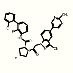 Cc1ncc(-c2ccc3c(c2)c(C#N)nn3CC(=O)N2C[C@H](F)C[C@H]2C(=O)Nc2cccc(-c3ccccc3Cl)c2F)cn1